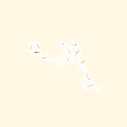 O=C(NCc1ccnc(Cl)c1)N1CC2(CCN(C/C=C/c3ccc(F)cc3)CC2)c2c1ccc1scnc21